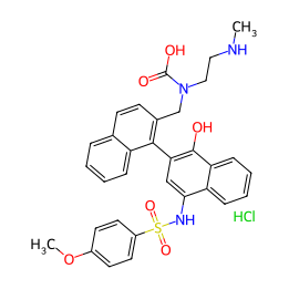 CNCCN(Cc1ccc2ccccc2c1-c1cc(NS(=O)(=O)c2ccc(OC)cc2)c2ccccc2c1O)C(=O)O.Cl